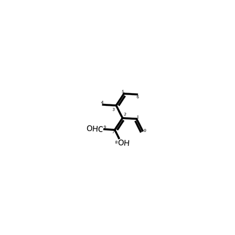 C=CC(/C(C)=C\C)=C(\O)C=O